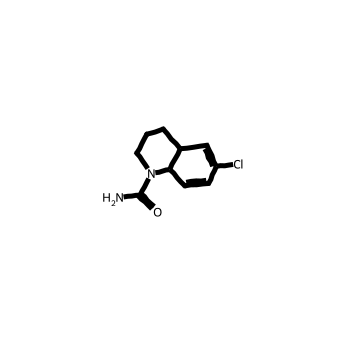 NC(=O)N1CCCC2C=C(Cl)C=CC21